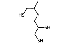 CC(CS)SCC(S)CS